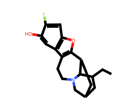 CCC1CC2CC3c4oc5cc(F)c(O)cc5c4CCN(C2)C13